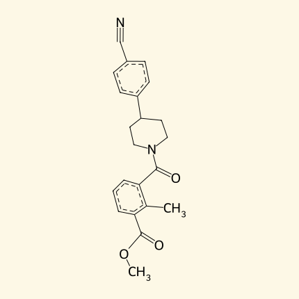 COC(=O)c1cccc(C(=O)N2CCC(c3ccc(C#N)cc3)CC2)c1C